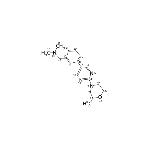 CC1CN(c2ncc(-c3cccc(CN(C)C)c3)cn2)CCO1